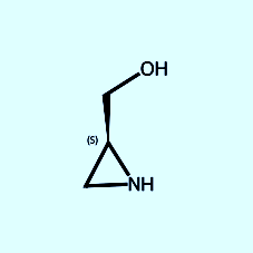 OC[C@@H]1CN1